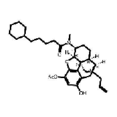 C=CCN1CC[C@]23c4c5c(O)cc(OC(C)=O)c4O[C@H]2[C@@H](N(C)C(=O)CCCCC2CCCCC2)CC[C@H]3[C@H]1C5